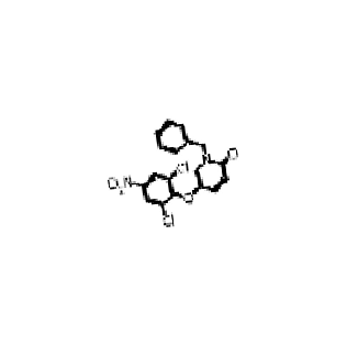 O=c1ccc(Oc2c(Cl)cc([N+](=O)[O-])cc2Cl)cn1Cc1ccccc1